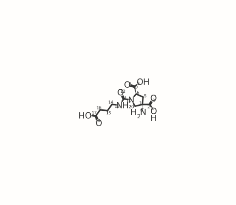 N[C@@]1(C(=O)O)C[C@H](C(=O)O)N(C(=O)NCCCC(=O)O)C1